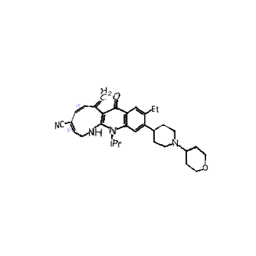 C=C1/C=C\C(C#N)=C/CNc2c1c(=O)c1cc(CC)c(C3CCN(C4CCOCC4)CC3)cc1n2C(C)C